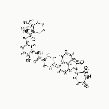 CC1(C)CCCCN1S(=O)(=O)Cc1ccc(F)c(NC(=O)N2CCC(c3ccc4c5c(cccc35)C(=O)N4C3CCC(=O)NC3=O)CC2)c1